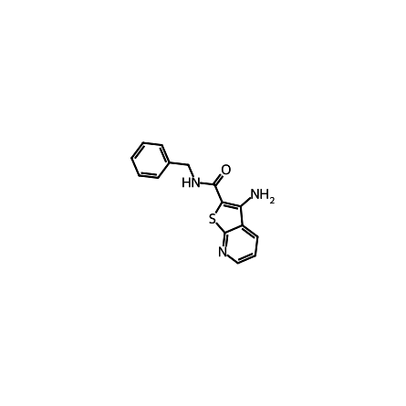 Nc1c(C(=O)NCc2ccccc2)sc2ncccc12